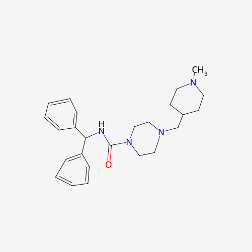 CN1CCC(CN2CCN(C(=O)NC(c3ccccc3)c3ccccc3)CC2)CC1